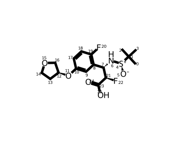 CC(C)(C)[S@@+]([O-])N[C@@H](c1cc(O[C@H]2CCOC2)ccc1F)[C@@H](F)C(=O)O